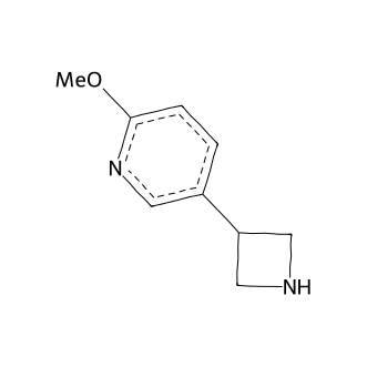 COc1ccc(C2CNC2)cn1